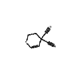 N#CC1(C#N)C=CSCC1